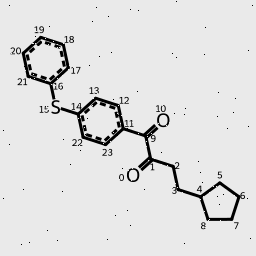 O=C(CCC1CCCC1)C(=O)c1ccc(Sc2ccccc2)cc1